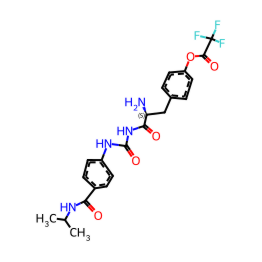 CC(C)NC(=O)c1ccc(NC(=O)NC(=O)[C@@H](N)Cc2ccc(OC(=O)C(F)(F)F)cc2)cc1